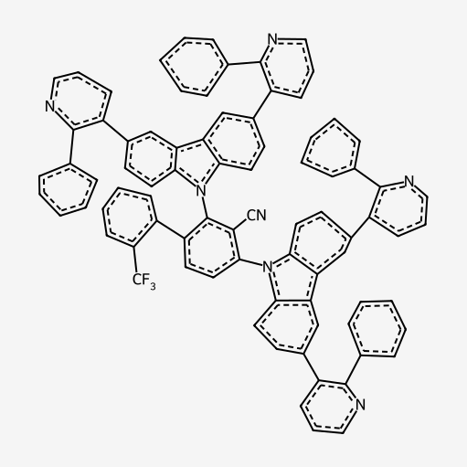 N#Cc1c(-n2c3ccc(-c4cccnc4-c4ccccc4)cc3c3cc(-c4cccnc4-c4ccccc4)ccc32)ccc(-c2ccccc2C(F)(F)F)c1-n1c2ccc(-c3cccnc3-c3ccccc3)cc2c2cc(-c3cccnc3-c3ccccc3)ccc21